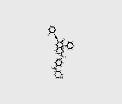 Cc1ccccc1C#Cc1cc2cnc(Nc3ccc(N(C)C4CCNCC4)cc3)nc2n(-c2ccncc2)c1=O